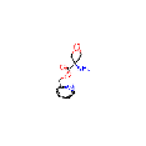 NC1(C(=O)OCc2ccccn2)COC1